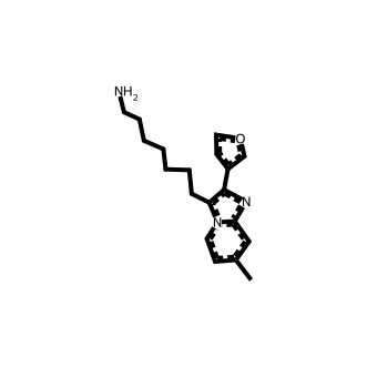 Cc1ccn2c(CCCCCCCN)c(-c3ccoc3)nc2c1